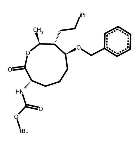 CC(C)CC[C@H]1[C@H](C)OC(=O)[C@@H](NC(=O)OC(C)(C)C)CCC[C@@H]1OCc1ccccc1